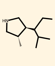 CCC(C(C)C)[C@@H]1CNC[C@H]1C